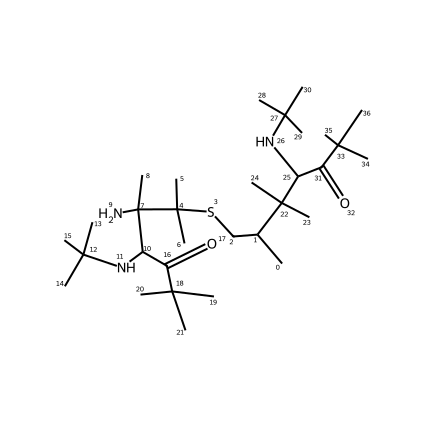 CC(CSC(C)(C)C(C)(N)C(NC(C)(C)C)C(=O)C(C)(C)C)C(C)(C)C(NC(C)(C)C)C(=O)C(C)(C)C